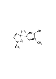 CC1=NC(C)(c2cc(Br)n(C)n2)C=C1